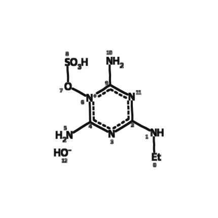 CCNc1nc(N)[n+](OS(=O)(=O)O)c(N)n1.[OH-]